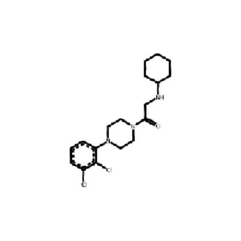 O=C(CNC1CCCCC1)N1CCN(c2cccc(Cl)c2Cl)CC1